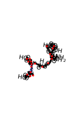 CCN1/C(=C/C=C/C=C/C2=[N+](CCCCCC(=O)NCC(C)(C)SSCOCC#Cc3cn([C@H]4CC(OCSSC(C)(C)C)[C@@H](COP(=O)(O)OP(=O)(O)OP(=O)(O)O)O4)c4nc(N)[nH]c(=O)c34)c3ccc(S(=O)(=O)O)cc3C2(C)C)C(C)(C)c2cc(S(=O)(=O)O)ccc21